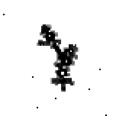 BC(B)(O)N1CC[C@@H](N(I)c2cccc3c2cc(C#CCNc2ccc(P(C)(C)=O)cc2OC)n3CC(F)(P)P)[C@H](F)C1